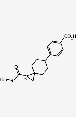 CC(C)(C)OC(=O)[C@@H]1CC12CCC(c1ccc(C(=O)O)cc1)CC2